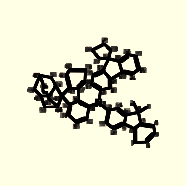 CC1(C)c2ccccc2-c2ccc(N(c3ccc4c(c3)-c3ccccc3C43CCCC3)c3cccc4c3-c3ccccc3C43C4CCC5CC(C4)CC3C5)cc21